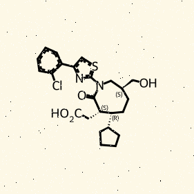 O=C(O)C[C@@H]1C(=O)N(c2nc(-c3ccccc3Cl)cs2)C[C@@H](CO)CC[C@@H]1C1CCCC1